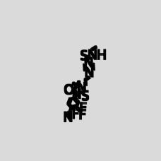 CCNC(=S)N1CCN(CCCN2C(=S)N(c3ccc(C#N)c(C(F)(F)F)c3)C(=O)C2(C)C)CC1